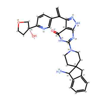 C=C(c1ccc([C@@]2(O)CCOC2)nc1)c1n[nH]c2nc(N3CCC4(CC3)Cc3ccccc3C4N)[nH]c(=O)c12